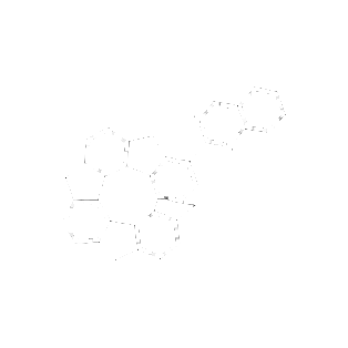 c1ccc2nc(-c3cc4c5c6c3Cc3ccc7c(c3-6)-c3c(ccc6c3-c3c(ccc(c3-5)C4)C6)C7)ncc2c1